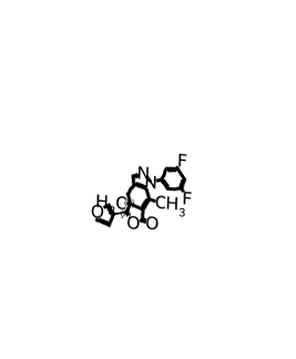 CC1=C2C(=O)O[C@@H](c3ccoc3)[C@]2(C)Cc2cnn(-c3cc(F)cc(F)c3)c21